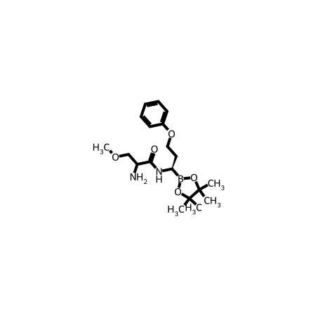 COCC(N)C(=O)N[C@@H](CCOc1ccccc1)B1OC(C)(C)C(C)(C)O1